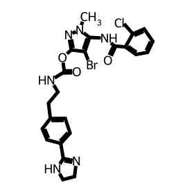 Cn1nc(OC(=O)NCCc2ccc(C3=NCCN3)cc2)c(Br)c1NC(=O)c1ccccc1Cl